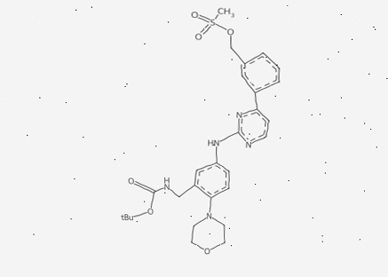 CC(C)(C)OC(=O)NCc1cc(Nc2nccc(-c3cccc(COS(C)(=O)=O)c3)n2)ccc1N1CCOCC1